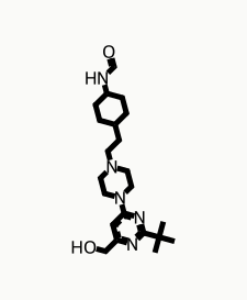 CC(C)(C)c1nc(CO)cc(N2CCN(CCC3CCC(NC=O)CC3)CC2)n1